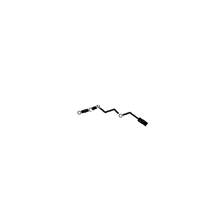 C#CCOCCN=C=O